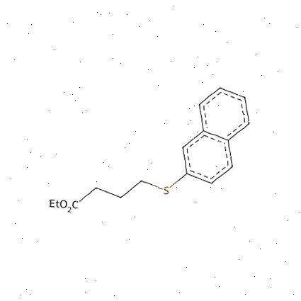 CCOC(=O)CCCSc1ccc2ccccc2c1